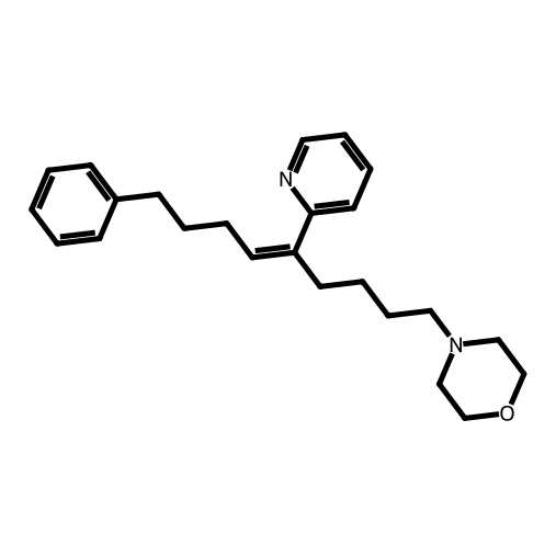 C(CCCc1ccccc1)=C(CCCCN1CCOCC1)c1ccccn1